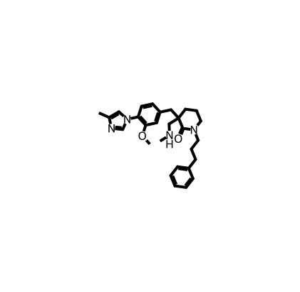 CNCC1(Cc2ccc(-n3cnc(C)c3)c(OC)c2)CCCN(CCCc2ccccc2)C1=O